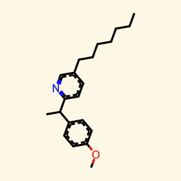 CCCCCCCc1ccc(C(C)c2ccc(OC)cc2)nc1